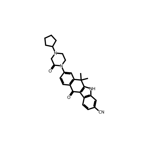 CC1(C)c2cc(N3CCN(C4CCCC4)CC3=O)ccc2C(=O)c2c1[nH]c1cc(C#N)ccc21